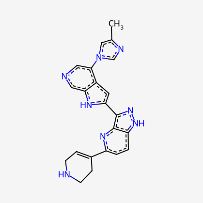 Cc1cn(-c2cncc3[nH]c(-c4n[nH]c5ccc(C6=CCNCC6)nc45)cc23)cn1